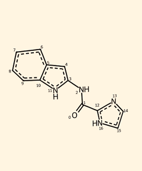 O=C(Nc1cc2ccccc2[nH]1)c1ncc[nH]1